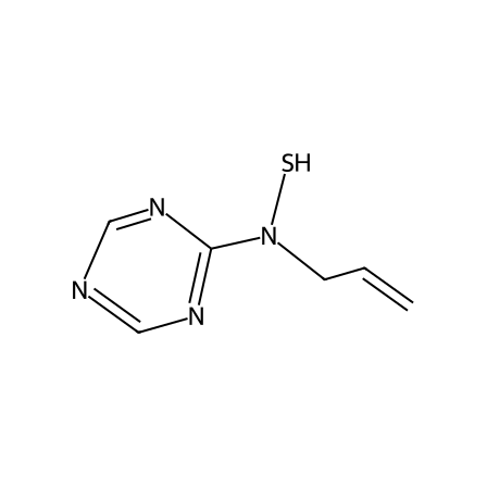 C=CCN(S)c1ncncn1